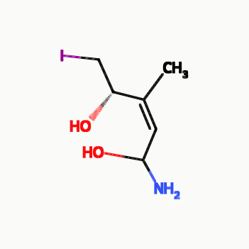 C/C(=C/C(N)O)[C@H](O)CI